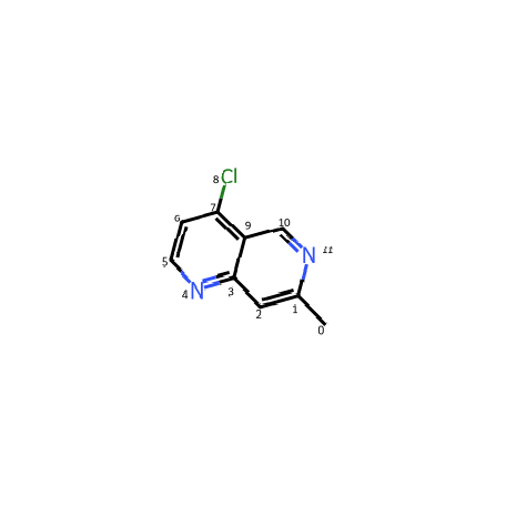 Cc1cc2nccc(Cl)c2cn1